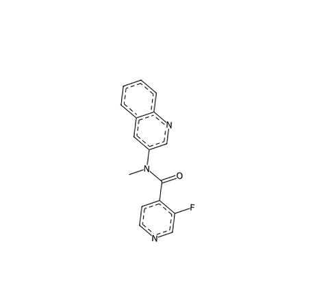 CN(C(=O)c1ccncc1F)c1cnc2ccccc2c1